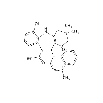 Cc1ccc(C2C3=C(CC(C)(C)CC3=O)Nc3c(O)cccc3N2C(=O)C(C)C)c2ccccc12